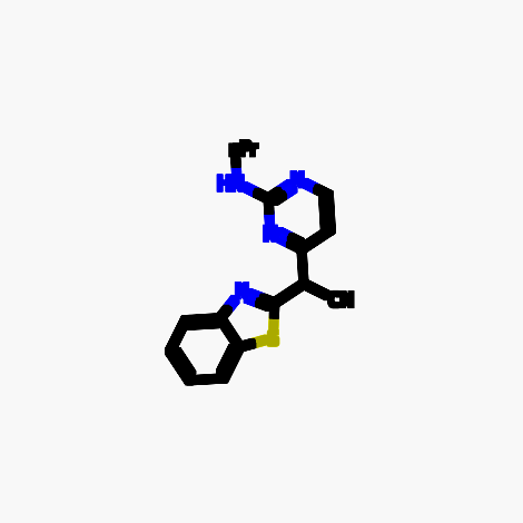 CCCNc1nccc(C(C#N)c2nc3ccccc3s2)n1